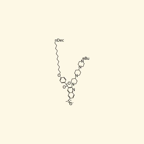 CCCCCCCCCCCCCCCCCCCCCCOc1ccc(S(=O)(=O)c2cc3cc([S+](C)[O-])ccc3nc2N2CCC(N3CCC(N4CCN(CCCC)CC4)CC3)CC2)cc1